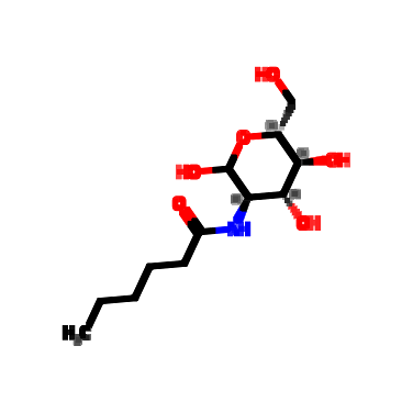 CCCCCC(=O)N[C@H]1C(O)O[C@H](CO)[C@@H](O)[C@@H]1O